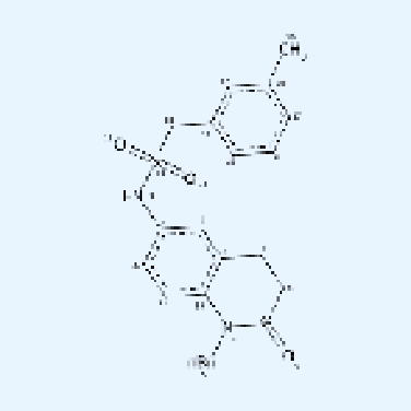 CCCCN1C(=O)CCc2cc(NS(=O)(=O)Cc3cccc(C)c3)ccc21